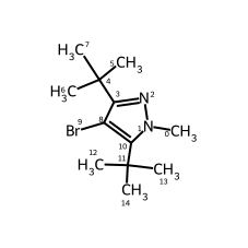 Cn1nc(C(C)(C)C)c(Br)c1C(C)(C)C